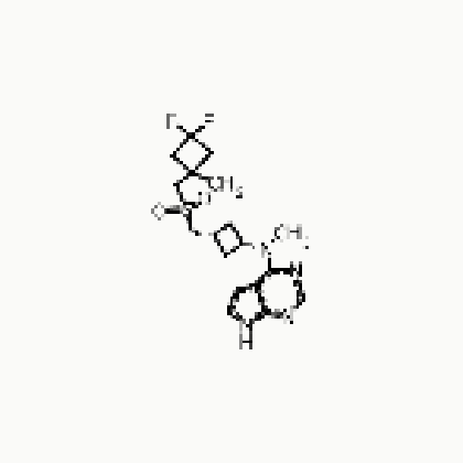 CN(c1ncnc2[nH]ccc12)[C@H]1C[C@@H](CS(=O)(=O)CC2(C)CC(F)(F)C2)C1